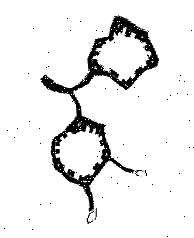 C=C(c1ccccc1)c1ccc(Cl)c(Cl)c1